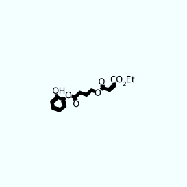 CCOC(=O)/C=C\C(=O)OCCCC(=O)Oc1ccccc1O